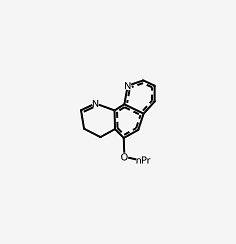 CCCOc1cc2cccnc2c2c1CCC=N2